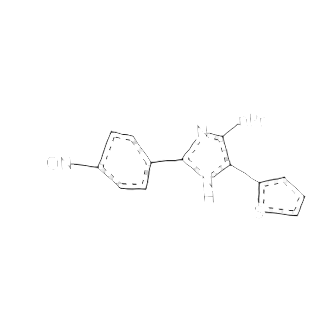 CCCc1nc(-c2ccc(N=O)cc2)[nH]c1-c1cccs1